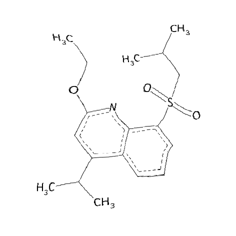 CCOc1cc(C(C)C)c2cccc(S(=O)(=O)CC(C)C)c2n1